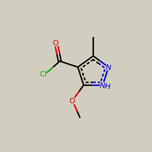 COc1[nH]nc(C)c1C(=O)Cl